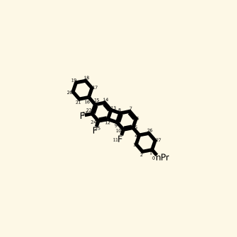 CCCC1CCC(c2ccc3c(c2F)-c2c-3cc(C3CCCCC3)c(F)c2F)CC1